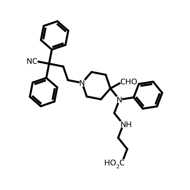 N#CC(CCN1CCC(C=O)(N(CNCCC(=O)O)c2ccccc2)CC1)(c1ccccc1)c1ccccc1